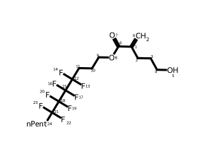 C=C(CCCO)C(=O)OCCCC(F)(F)C(F)(F)C(F)(F)C(F)(F)CCCCC